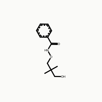 CC(C)(CO)CONC(=O)c1ccccc1